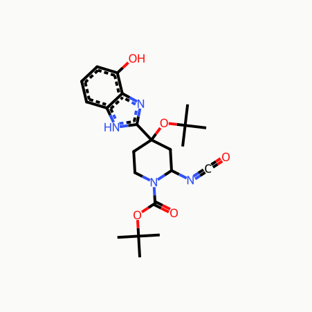 CC(C)(C)OC(=O)N1CCC(OC(C)(C)C)(c2nc3c(O)cccc3[nH]2)CC1N=C=O